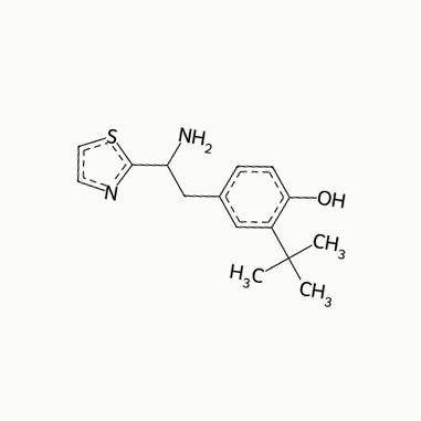 CC(C)(C)c1cc(CC(N)c2nccs2)ccc1O